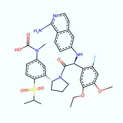 CCOc1cc([C@H](Nc2ccc3c(N)nccc3c2)C(=O)N2CCC[C@@H]2c2cc(N(C)C(=O)O)ccc2S(=O)(=O)C(C)C)c(F)cc1OC